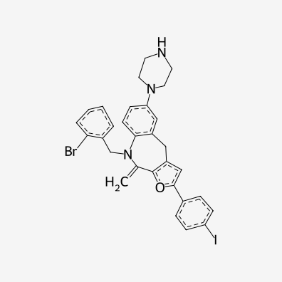 C=C1c2oc(-c3ccc(I)cc3)cc2Cc2cc(N3CCNCC3)ccc2N1Cc1ccccc1Br